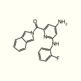 Nc1cc(Nc2ccccc2F)nc(C(=O)n2cc3ccccc3c2)c1